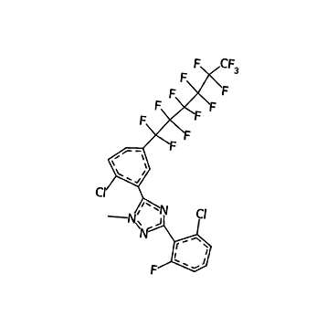 Cn1nc(-c2c(F)cccc2Cl)nc1-c1cc(C(F)(F)C(F)(F)C(F)(F)C(F)(F)C(F)(F)C(F)(F)F)ccc1Cl